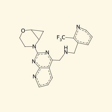 FC(F)(F)c1ncccc1CNCc1nc(N2CCOC3CC32)nc2ncccc12